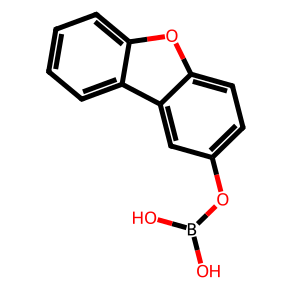 OB(O)Oc1ccc2oc3ccccc3c2c1